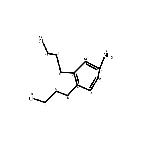 Nc1ccc(CCCCl)c(CCCCl)c1